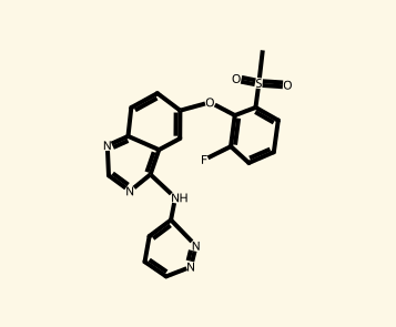 CS(=O)(=O)c1cccc(F)c1Oc1ccc2ncnc(Nc3cccnn3)c2c1